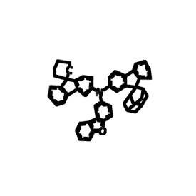 c1ccc2c(c1)-c1cc(N(c3ccc4c(c3)C3(c5ccccc5-4)C4CC5CC(C4)CC3C5)c3ccc4oc5ccccc5c4c3)ccc1C21CCCCC1